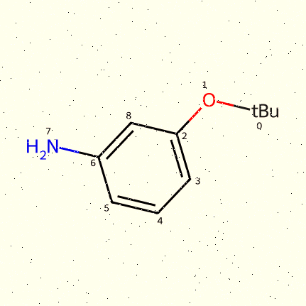 CC(C)(C)Oc1cccc(N)c1